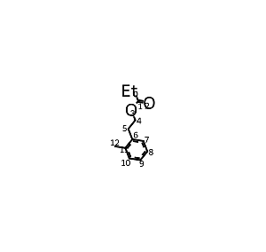 CCC(=O)OCCc1ccccc1C